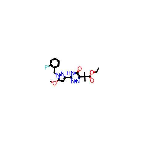 CCOC(=O)C(C)(C)c1nnc(-c2cc(OC)n(Cc3ccccc3F)n2)[nH]c1=O